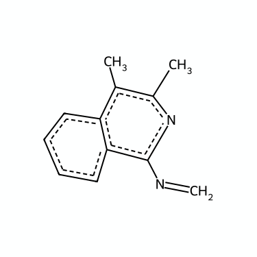 C=Nc1nc(C)c(C)c2ccccc12